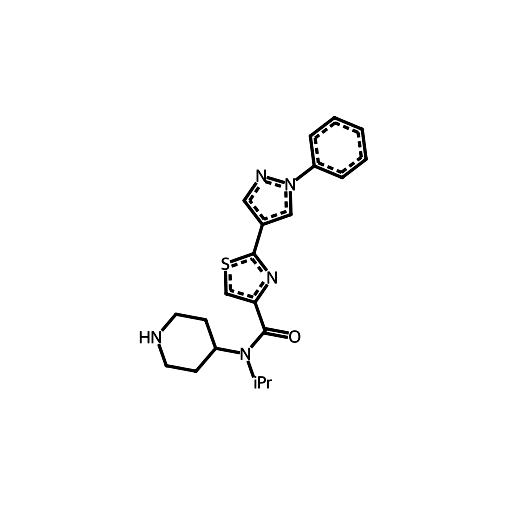 CC(C)N(C(=O)c1csc(-c2cnn(-c3ccccc3)c2)n1)C1CCNCC1